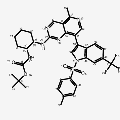 Cc1ccc(S(=O)(=O)n2cc(-c3cnc(C)c4cnc(N[C@@H]5CCCC[C@@H]5NC(=O)OC(C)(C)C)nc34)c3ccc(C(F)(F)F)cc32)cc1